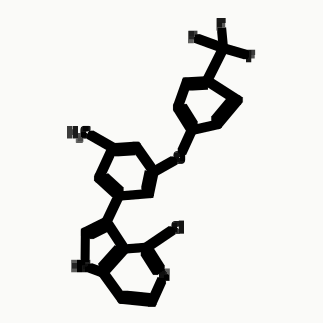 Cc1cc(Oc2ccc(C(F)(F)F)cc2)cc(-c2c[nH]c3ccnc(Cl)c23)c1